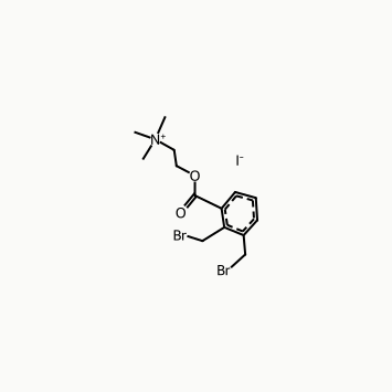 C[N+](C)(C)CCOC(=O)c1cccc(CBr)c1CBr.[I-]